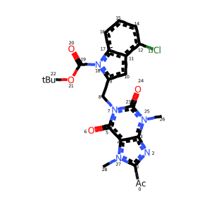 CC(=O)c1nc2c(c(=O)n(Cc3cc4c(Cl)cccc4n3C(=O)OC(C)(C)C)c(=O)n2C)n1C